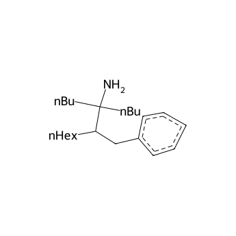 CCCCCCC(Cc1ccccc1)C(N)(CCCC)CCCC